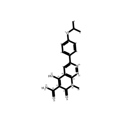 CC(C)Oc1ccc(-c2cc3c(O)c(C(N)=O)c(=O)n(C)c3nn2)cc1